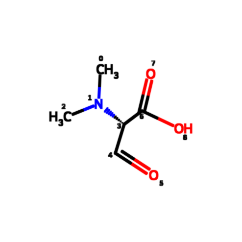 CN(C)[C@@H](C=O)C(=O)O